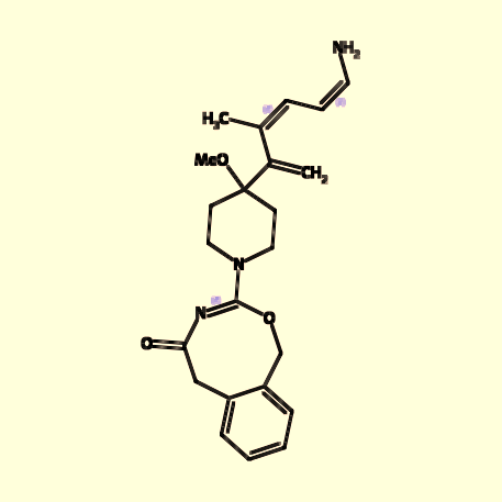 C=C(/C(C)=C\C=C/N)C1(OC)CCN(/C2=N/C(=O)Cc3ccccc3CO2)CC1